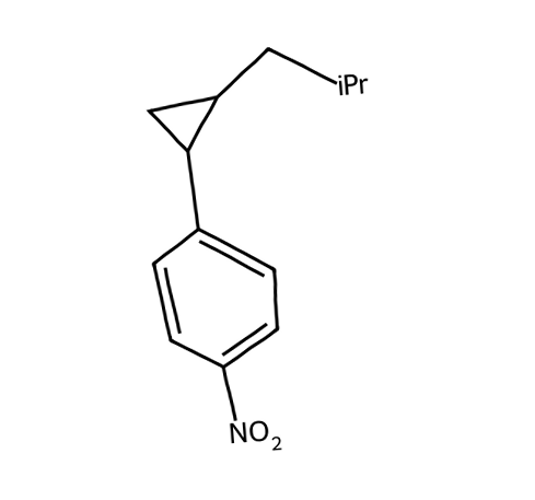 CC(C)CC1CC1c1ccc([N+](=O)[O-])cc1